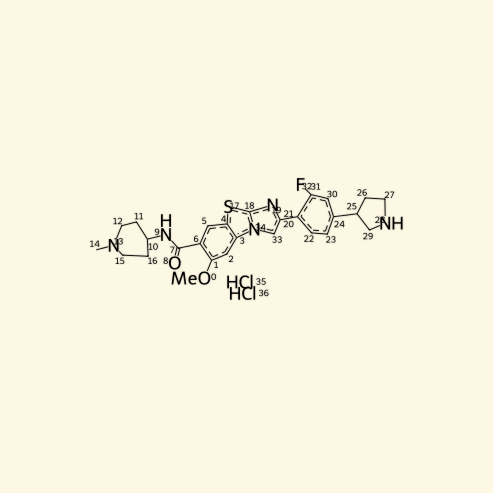 COc1cc2c(cc1C(=O)NC1CCN(C)CC1)sc1nc(-c3ccc(C4CCNC4)cc3F)cn12.Cl.Cl